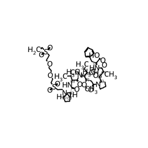 C=CS(=O)(=O)CCOCCOCCS(=O)(=O)CCN1[C@@H]2CC[C@@H](C2)[C@H]1C(=O)N[C@H](C(=O)N(C)[C@@H]([C@@H](C)CC)[C@@H](CC(=O)N1CCC[C@H]1[C@H](OC)[C@@H](C)C(=O)N[C@@H](Cc1ccccc1)C(=O)O)OC)C(C)C